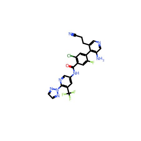 N#CCCc1cncc(N)c1-c1cc(Cl)c(C(=O)Nc2cnc(-n3nccn3)c(C(F)(F)F)c2)cc1F